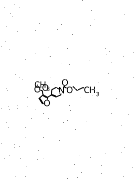 CCCCOC(=O)N1CC=C(c2occc2C(=O)OC)CC1